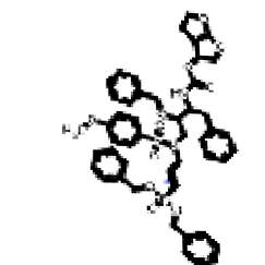 COc1ccc(S(=O)(=O)N(C/C=C/P(=O)(OCc2ccccc2)OCc2ccccc2)CC(OCc2ccccc2)C(Cc2ccccc2)NC(=O)OC2COC3OCCC23)cc1